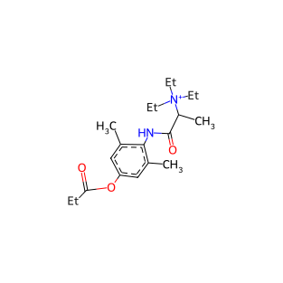 CCC(=O)Oc1cc(C)c(NC(=O)C(C)[N+](CC)(CC)CC)c(C)c1